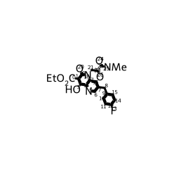 CCOC(=O)c1c(O)c2ncc(Cc3ccc(F)cc3)c3c2n(c1=O)C[C@H](C(=O)NC)O3